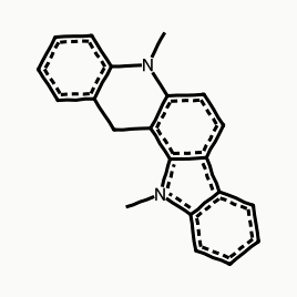 CN1c2ccccc2Cc2c1ccc1c3ccccc3n(C)c21